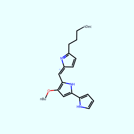 CCCCCCCCCCCCCC1=N/C(=C/c2[nH]c(-c3ccc[nH]3)cc2OCCCC)C=C1